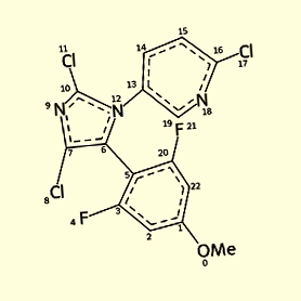 COc1cc(F)c(-c2c(Cl)nc(Cl)n2-c2ccc(Cl)nc2)c(F)c1